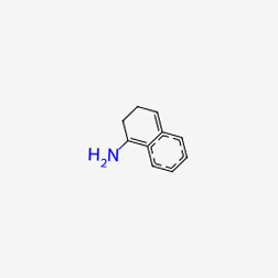 NC1=c2ccccc2=CCC1